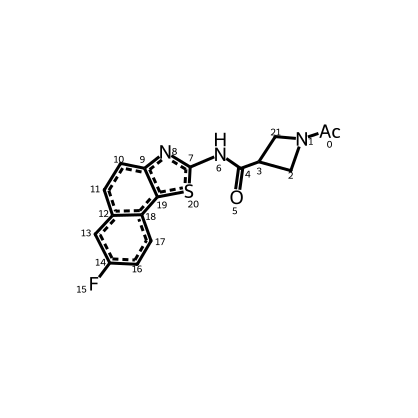 CC(=O)N1CC(C(=O)Nc2nc3ccc4cc(F)ccc4c3s2)C1